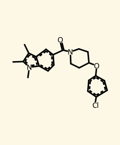 Cc1c(C)n(C)c2ccc(C(=O)N3CCC(Oc4ccc(Cl)cc4)CC3)cc12